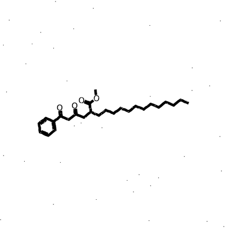 CCCCCCCCCCCCCC(CC(=O)CC(=O)c1ccccc1)C(=O)OC